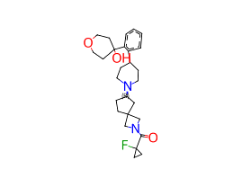 O=C(N1CC2(CC[C@@H](N3CCC(c4ccccc4C4(O)CCOCC4)CC3)C2)C1)C1(F)CC1